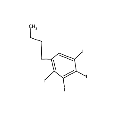 CCCCc1cc(I)c(I)c(I)c1I